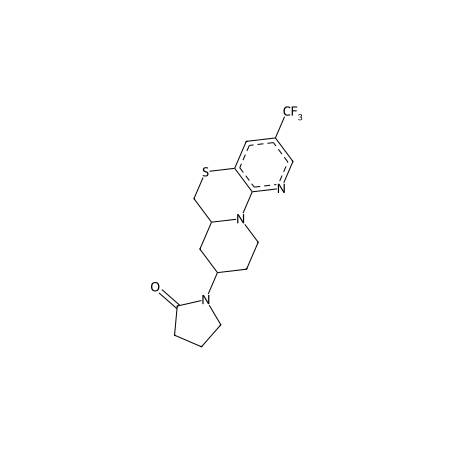 O=C1CCCN1C1CCN2c3ncc(C(F)(F)F)cc3SCC2C1